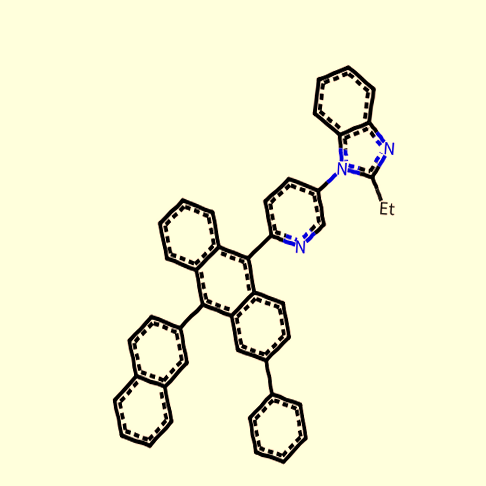 CCc1nc2ccccc2n1-c1ccc(-c2c3ccccc3c(-c3ccc4ccccc4c3)c3cc(-c4ccccc4)ccc23)nc1